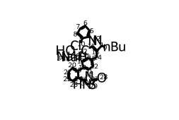 CCCCc1nn(-c2ccccc2Cl)c(C(=O)O)c1Cc1ccc(-c2ccccc2-c2nc(=O)s[nH]2)cc1.[NaH].[NaH]